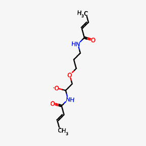 CC=CC(=O)NCCCOCC([O])NC(=O)C=CC